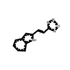 C(=C\c1cc2ccccc2[nH]1)/c1nnon1